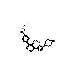 CCOCNc1ccc(-c2cccc(-c3cc(N4CCNCC4)no3)c2OC)cc1